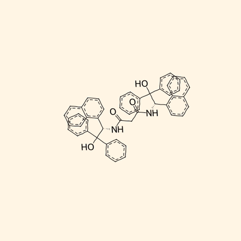 O=C(CC(=O)N[C@@H](c1cccc2ccccc12)C(O)(c1ccccc1)c1ccccc1)N[C@@H](c1cccc2ccccc12)C(O)(c1ccccc1)c1ccccc1